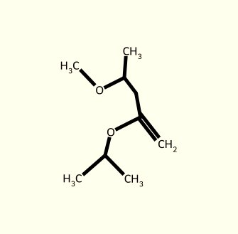 C=C(CC(C)OC)OC(C)C